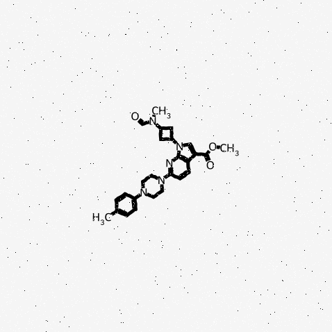 COC(=O)c1cn(C2CC(N(C)C=O)C2)c2nc(N3CCN(c4ccc(C)cc4)CC3)ccc12